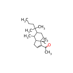 CCCC(C)(C)C1CC[C@]2(C)C(C(C)=O)=CCC2C1C